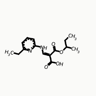 CCc1cccc(NC=C(C(=O)O)C(=O)OC(C)CC)n1